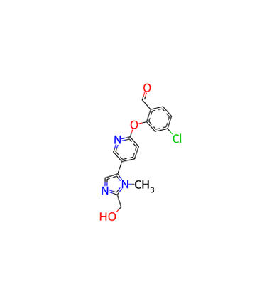 Cn1c(-c2ccc(Oc3cc(Cl)ccc3C=O)nc2)cnc1CO